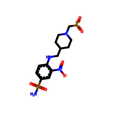 NS(=O)(=O)c1ccc(NCC2CCN(C[SH](=O)=O)CC2)c([N+](=O)[O-])c1